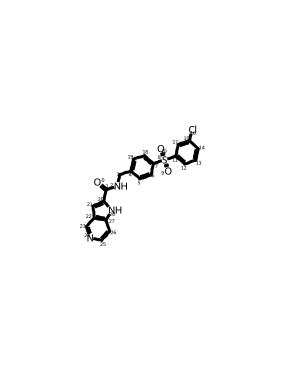 O=C(NCc1ccc(S(=O)(=O)c2cccc(Cl)c2)cc1)c1cc2cnccc2[nH]1